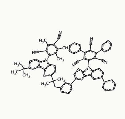 Cc1c(C)c(-n2c3ccc(C(C)(C)C)cc3c3cc(C(C)(C)Cc4cccc(-c5ccc6c(c5)c5cc(-c7ccccc7)ccc5n6-c5c(C#N)c(-c6ccccc6)c(C#N)c(-c6ccccc6)c5C#N)c4)ccc32)c(C#N)c(C)c1C#N